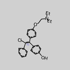 CCN(CC)CCOc1ccc(/C(=C(\Cl)c2ccccc2)c2ccc(O)cc2)cc1